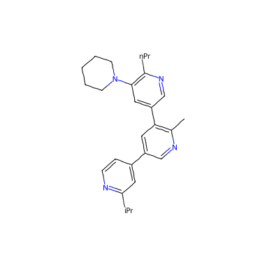 CCCc1ncc(-c2cc(-c3ccnc(C(C)C)c3)cnc2C)cc1N1CCCCC1